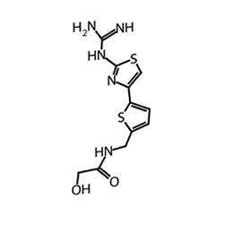 N=C(N)Nc1nc(-c2ccc(CNC(=O)CO)s2)cs1